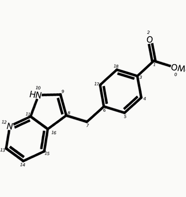 COC(=O)c1ccc(Cc2c[nH]c3ncccc23)cc1